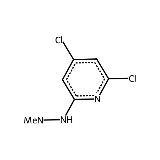 CNNc1cc(Cl)cc(Cl)n1